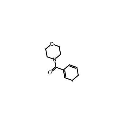 O=C(C1=C[CH]CC=C1)N1CCOCC1